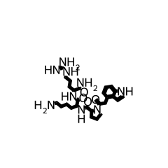 N=C(N)NCCCC(NC(=O)C(CCCCN)NC(=O)C1CCCN1C(=O)Cc1cccc2[nH]ccc12)C(N)=O